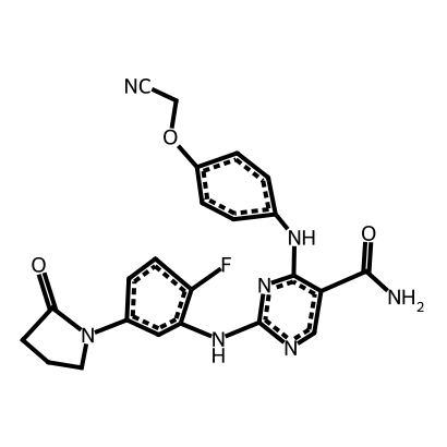 N#CCOc1ccc(Nc2nc(Nc3cc(N4CCCC4=O)ccc3F)ncc2C(N)=O)cc1